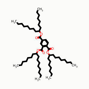 CCCCCCCCC(CCCCCCC)OC(=O)c1ccc(C(=O)OC(CCCCCCC)CCCCCCCC)c(C(=O)OC(CCCCCCC)CCCCCCCC)c1